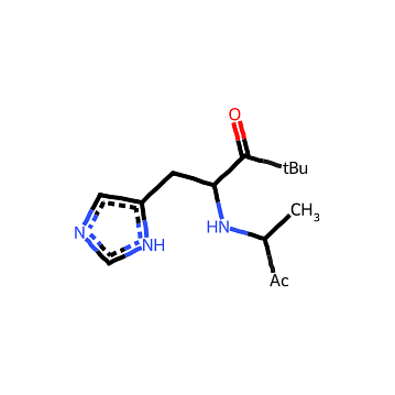 CC(=O)C(C)NC(Cc1cnc[nH]1)C(=O)C(C)(C)C